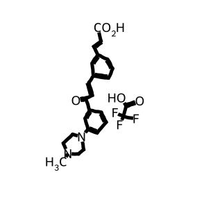 CN1CCN(c2cccc(C(=O)C=Cc3cccc(C=CC(=O)O)c3)c2)CC1.O=C(O)C(F)(F)F